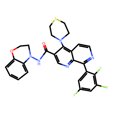 O=C(NN1CCOc2ccccc21)c1cnc2c(-c3cc(F)cc(F)c3F)nccc2c1N1CCSCC1